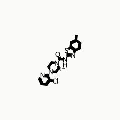 Cc1ccc2nc(NC(=O)N3CCN(c4ncccc4Cl)C[C@H]3C)sc2c1